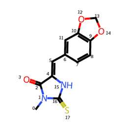 CN1C(=O)/C(=C/c2ccc3c(c2)OCO3)NC1=S